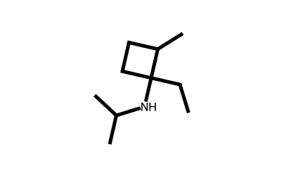 CCC1(NC(C)C)CCC1C